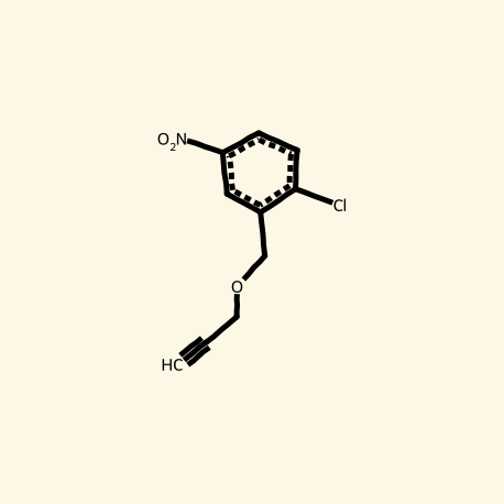 C#CCOCc1cc([N+](=O)[O-])ccc1Cl